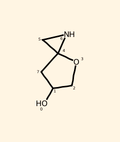 OC1COC2(CN2)C1